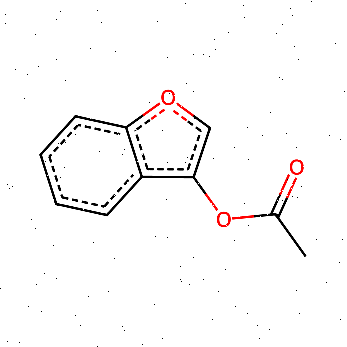 CC(=O)Oc1coc2ccccc12